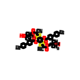 CCC1CCC(C2CCC(C(=O)Oc3c4c(c(OC(=O)C5CCC(C6CCC(CC)CC6)CC5)c5c3SC(=C(C#N)C(=O)OCCC(C)(C)O)S5)SC(=C(C#N)C(=O)OCCC(C)(C)O)S4)CC2)CC1